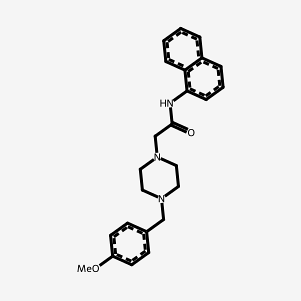 COc1ccc(CN2CCN(CC(=O)Nc3cccc4ccccc34)CC2)cc1